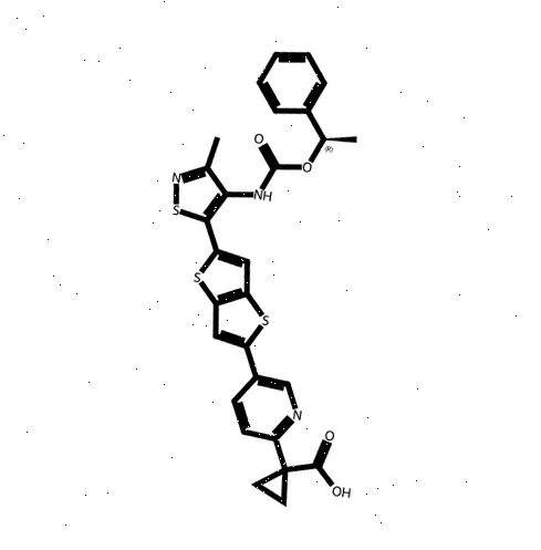 Cc1nsc(-c2cc3sc(-c4ccc(C5(C(=O)O)CC5)nc4)cc3s2)c1NC(=O)O[C@H](C)c1ccccc1